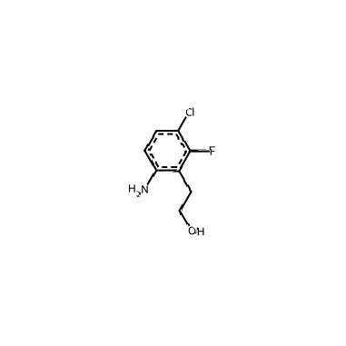 Nc1ccc(Cl)c(F)c1CCO